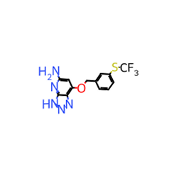 Nc1cc(OCc2cccc(SC(F)(F)F)c2)c2nn[nH]c2n1